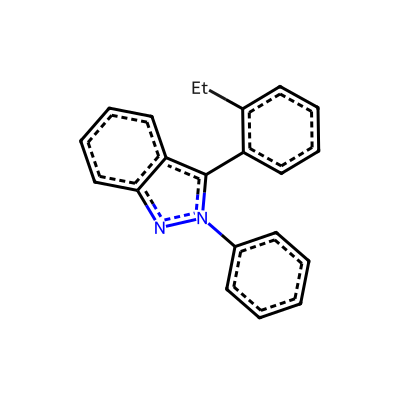 CCc1ccccc1-c1c2ccccc2nn1-c1ccccc1